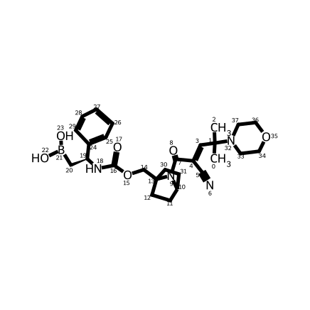 CC(C)(C=C(C#N)C(=O)N1C2CCC1(COC(=O)N[C@@H](CB(O)O)c1ccccc1)CC2)N1CCOCC1